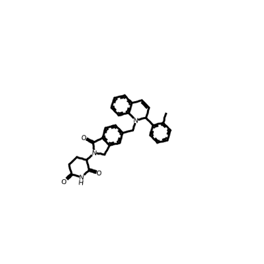 Cc1ccccc1C1C=Cc2ccccc2N1Cc1ccc2c(c1)CN(C1CCC(=O)NC1=O)C2=O